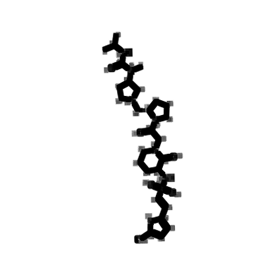 CC(C)NC(=O)N(C)C1CCN(C[C@@H]2CCCN2C(=O)CN2CCC[C@H](NS(=O)(=O)/C=C/c3ccc(Cl)s3)C2=O)C1